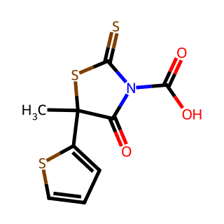 CC1(c2cccs2)SC(=S)N(C(=O)O)C1=O